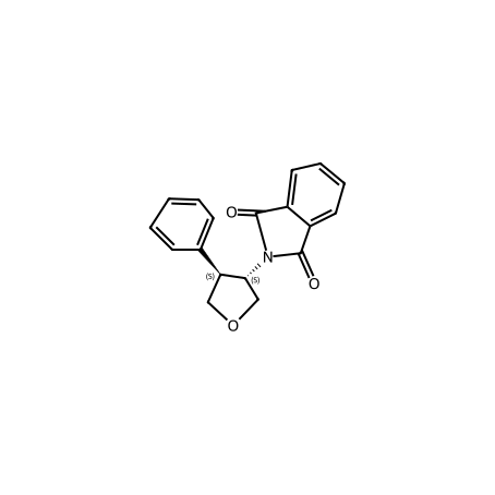 O=C1c2ccccc2C(=O)N1[C@@H]1COC[C@H]1c1ccccc1